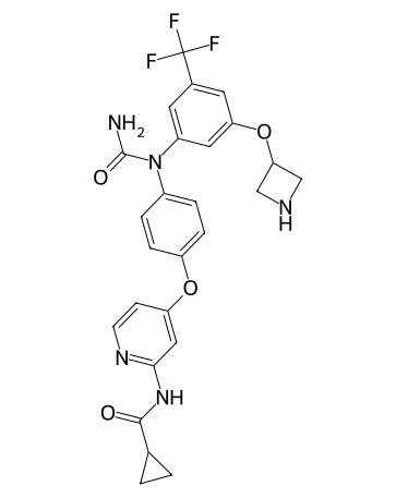 NC(=O)N(c1ccc(Oc2ccnc(NC(=O)C3CC3)c2)cc1)c1cc(OC2CNC2)cc(C(F)(F)F)c1